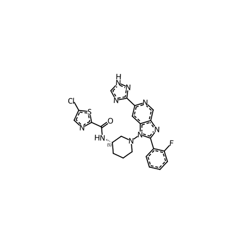 O=C(N[C@H]1CCCN(n2c(-c3ccccc3F)nc3cnc(-c4nc[nH]n4)cc32)C1)c1ncc(Cl)s1